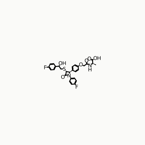 C[C@@H](NC(=O)COc1ccc([C@@H]2[C@H](SCC(O)c3ccc(F)cc3)C(=O)N2c2ccc(F)cc2)cc1)C(=O)O